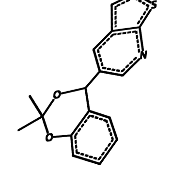 CC1(C)Oc2ccccc2C(c2cnc3sccc3c2)O1